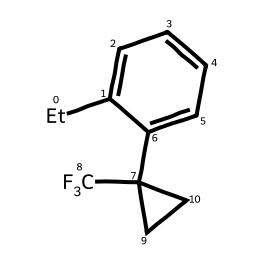 CCc1ccccc1C1(C(F)(F)F)CC1